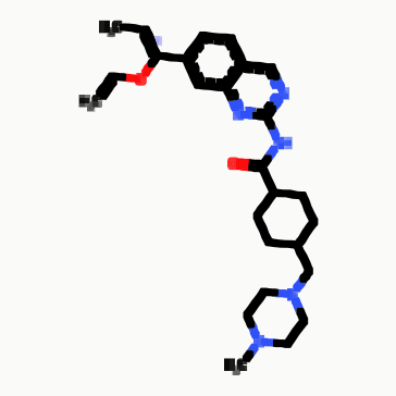 C=CO/C(=C\C)c1ccc2cnc(NC(=O)C3CCC(CN4CCN(C)CC4)CC3)nc2c1